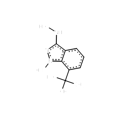 CNc1nn(C)c2c(C(C)(C)C)cccc12